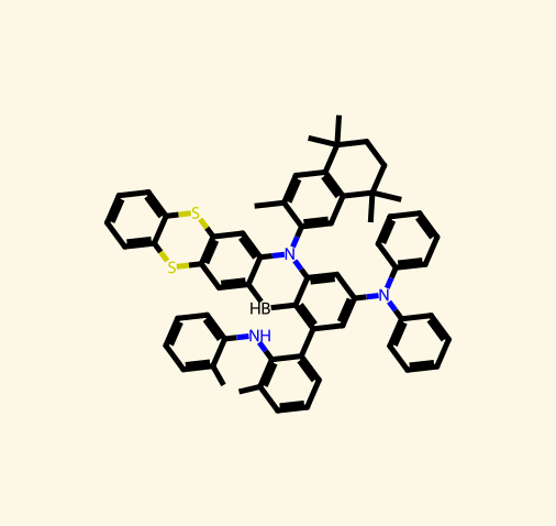 Cc1ccccc1Nc1c(C)cccc1-c1cc(N(c2ccccc2)c2ccccc2)cc2c1Bc1cc3c(cc1N2c1cc2c(cc1C)C(C)(C)CCC2(C)C)Sc1ccccc1S3